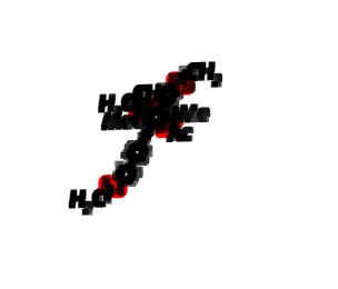 C=CC(=O)Oc1ccc(-c2ccc(C#Cc3c(OC(=O)C(C)=O)c(OC)c(-c4ccc(OC(=O)C=C)cc4)c(OC(=O)C(=C)C)c3OC)cc2)cc1